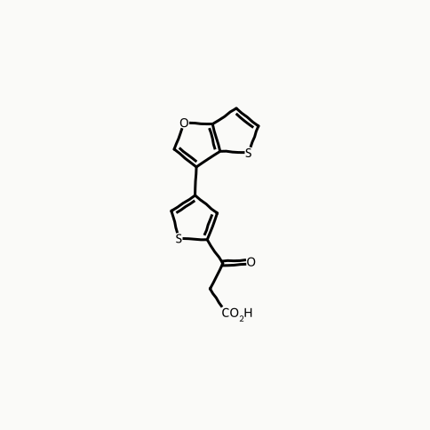 O=C(O)CC(=O)c1cc(-c2coc3ccsc23)cs1